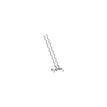 CCCCCCCCCCCCCCCCC=CN.CCCCCCCCCCCCCCCCC=CN